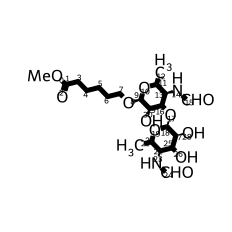 COC(=O)CCCCCO[C@H]1OC(C)[C@@H](NC=O)C(O[C@H]2OC(C)[C@@H](NC=O)C(O)[C@H]2O)[C@H]1O